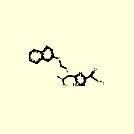 C[C@H](O)[C@H](CCSc1ccc2ccccc2c1)c1nc(C(N)=O)c[nH]1